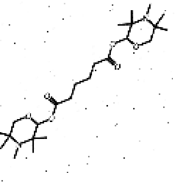 CN1C(C)(C)COC(OC(=O)CCCCC(=O)OC2OCC(C)(C)N(C)C2(C)C)C1(C)C